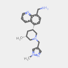 C[C@@H]1C[C@H](c2ccc(CN)c3ncccc23)CN(Cc2cnn(C)c2)C1